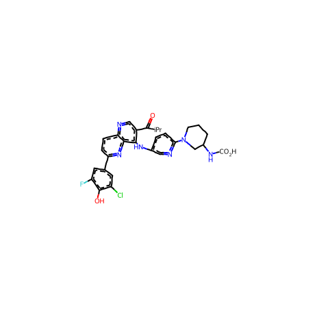 CC(C)C(=O)c1cnc2ccc(-c3cc(F)c(O)c(Cl)c3)nc2c1Nc1ccc(N2CCCC(NC(=O)O)C2)nc1